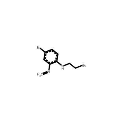 C=Nc1cc(Br)ccc1NCCC(C)CC